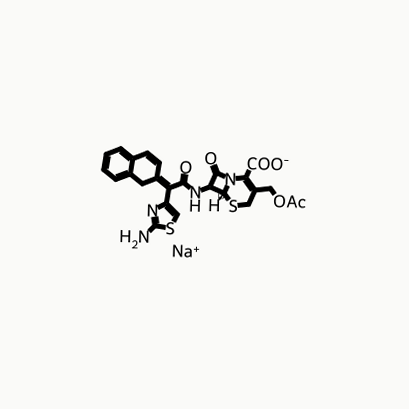 CC(=O)OCC1=C(C(=O)[O-])N2C(=O)C(NC(=O)C(=C3C=Cc4ccccc4C3)c3csc(N)n3)[C@@H]2SC1.[Na+]